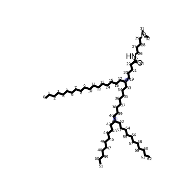 CCCCCCCCCCCCCCCCCC/C(=C\CCCC(=O)NCCCCN(C)C)CCCCCCC/C=C(/CCCCCCCCCC)CCCCCCCCCCC